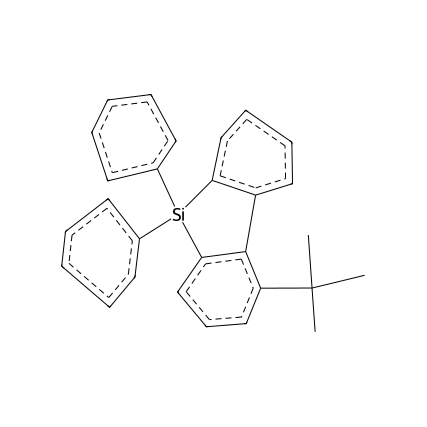 CC(C)(C)c1cccc2c1-c1ccccc1[Si]2(c1ccccc1)c1ccccc1